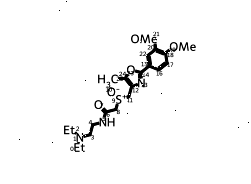 CCN(CC)CCNC(=O)C[S+]([O-])Cc1nc(-c2ccc(OC)c(OC)c2)oc1C